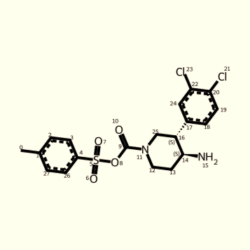 Cc1ccc(S(=O)(=O)OC(=O)N2CC[C@H](N)[C@@H](c3ccc(Cl)c(Cl)c3)C2)cc1